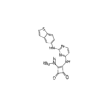 CC(C)(C)Nc1c(Nc2ccnc(Nc3ccc4sccc4c3)n2)c(=O)c1=O